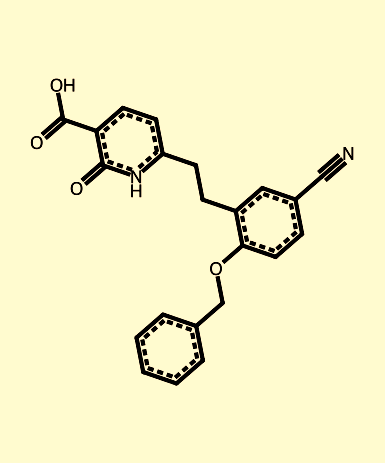 N#Cc1ccc(OCc2ccccc2)c(CCc2ccc(C(=O)O)c(=O)[nH]2)c1